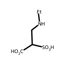 CCNCC(C(=O)O)S(=O)(=O)O